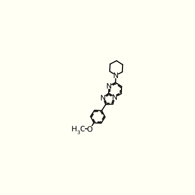 COc1ccc(-c2cn3ccc(N4CCCCC4)nc3n2)cc1